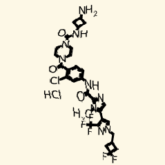 Cl.Cn1c(-c2cn(CC3CC(F)(F)C3)nc2C(F)(F)F)cnc1C(=O)Nc1ccc(C(=O)N2CCN(C(=O)NC3CC(N)C3)CC2)c(Cl)c1